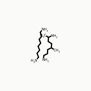 CC(N)CCC(C)CCCN.NCCCCCCCCN